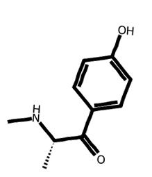 CN[C@@H](C)C(=O)c1ccc(O)cc1